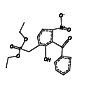 CCOP(=O)(Cc1ccc([N+](=O)[O-])c(C(=O)c2ccccc2)c1O)OCC